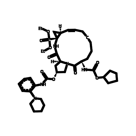 CCOP(=O)(OCC)[C@@]12C[C@H]1/C=C\CCCCC[C@H](NC(=O)OC1CCCC1)C(=O)N1C[C@H](OC(=O)Nc3ccccc3N3CCCCC3)C[C@H]1C(=O)N2